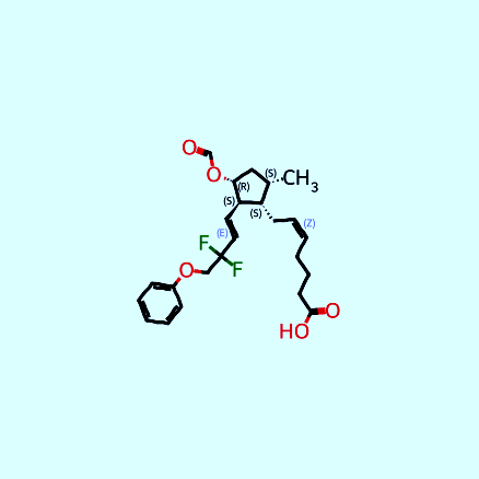 C[C@H]1C[C@@H](OC=O)[C@H](/C=C/C(F)(F)COc2ccccc2)[C@H]1C/C=C\CCCC(=O)O